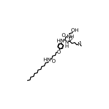 CCCCCCCCCCCCNC(=O)CCCOc1ccc(NC(NC(=O)CCCN(C)C)C(=O)NCCO)cc1